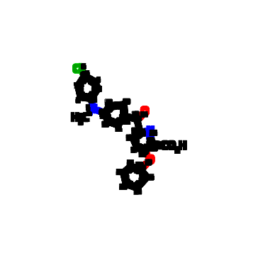 CN(c1ccc(Cl)cc1)c1ccc(C(=O)c2ccc(Oc3ccccc3)c(C(=O)O)n2)cc1